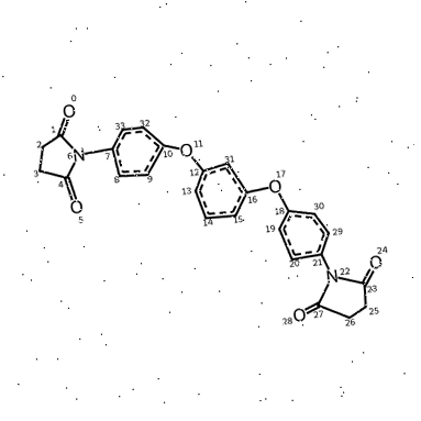 O=C1CCC(=O)N1c1ccc(Oc2cccc(Oc3ccc(N4C(=O)CCC4=O)cc3)c2)cc1